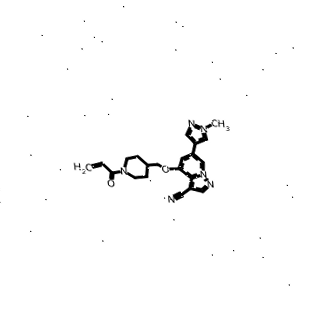 C=CC(=O)N1CCC(COc2cc(-c3cnn(C)c3)cn3ncc(C#N)c23)CC1